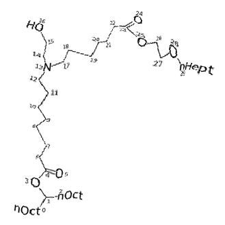 CCCCCCCCC(CCCCCCCC)OC(=O)CCCCCCCN(CCO)CCCCCCC(=O)OCCOCCCCCCC